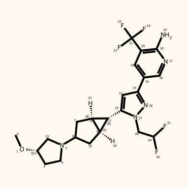 CO[C@H]1CCN(C2C[C@@H]3[C@H](C2)[C@H]3c2cc(-c3cnc(N)c(C(F)(F)F)c3)nn2CC(F)F)C1